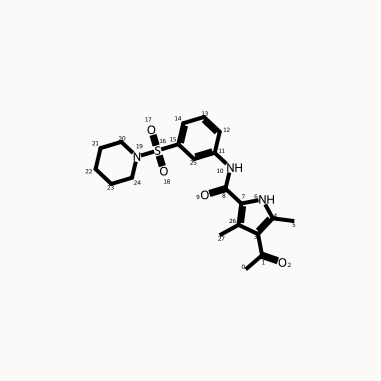 CC(=O)c1c(C)[nH]c(C(=O)Nc2cccc(S(=O)(=O)N3CCCCC3)c2)c1C